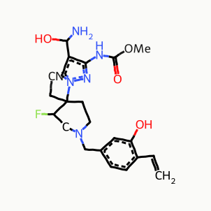 C=Cc1ccc(CN2CCC(CC#N)(n3cc(C(N)O)c(NC(=O)OC)n3)C(F)C2)cc1O